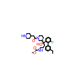 CCc1cccc(-c2c(F)cccc2[C@](O)(CCCNC(=O)OC)[C@@H]2CCCN(C(=O)CC3CCNCC3)C2)c1